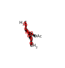 C=CC(=O)OCCCCOc1ccc(C(=O)Oc2ccc(OC(=O)c3ccc(OCCCCOC(=O)C=C)cc3)c(C(=O)OCCCCOC(C)=O)c2)cc1